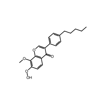 CCCCCc1ccc(-c2coc3c(OC)c(OO)ccc3c2=O)cc1